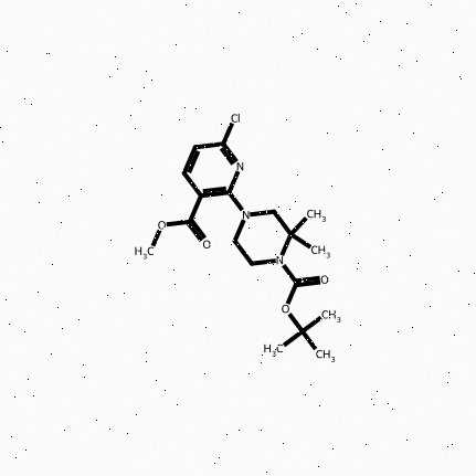 COC(=O)c1ccc(Cl)nc1N1CCN(C(=O)OC(C)(C)C)C(C)(C)C1